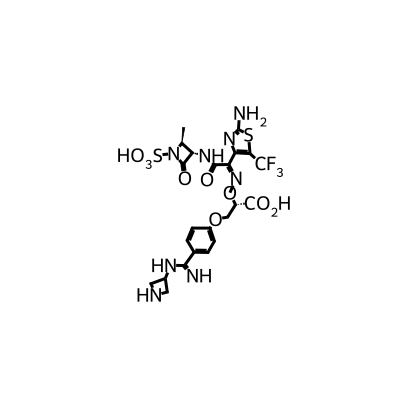 C[C@H]1[C@H](NC(=O)/C(=N\O[C@@H](COc2ccc(C(=N)NC3CNC3)cc2)C(=O)O)c2nc(N)sc2C(F)(F)F)C(=O)N1S(=O)(=O)O